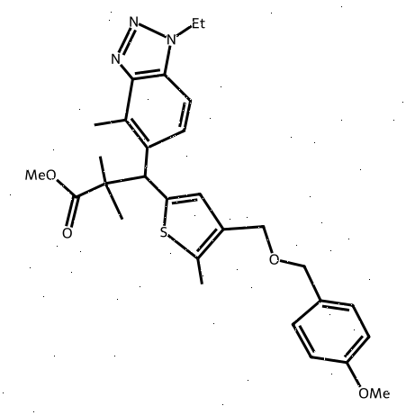 CCn1nnc2c(C)c(C(c3cc(COCc4ccc(OC)cc4)c(C)s3)C(C)(C)C(=O)OC)ccc21